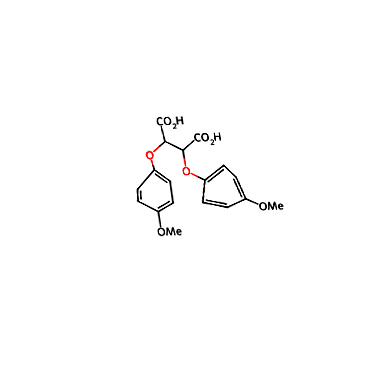 COc1ccc(OC(C(=O)O)C(Oc2ccc(OC)cc2)C(=O)O)cc1